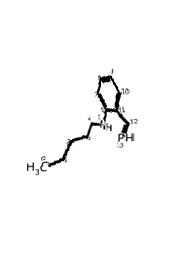 CCCCCNc1ccccc1C=P